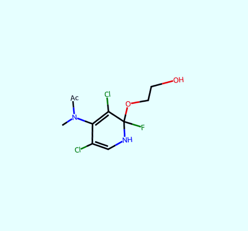 CC(=O)N(C)C1=C(Cl)C(F)(OCCO)NC=C1Cl